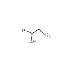 CCC(C[N+](=O)[O-])OC(C)=O